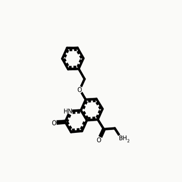 BCC(=O)c1ccc(OCc2ccccc2)c2[nH]c(=O)ccc12